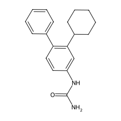 NC(=O)Nc1ccc(-c2ccccc2)c(C2CCCCC2)c1